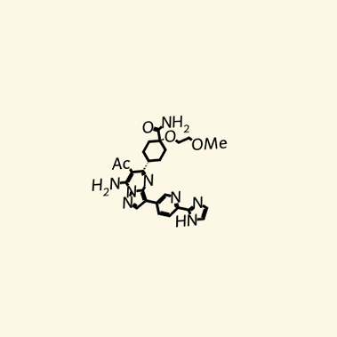 COCCO[C@]1(C(N)=O)CC[C@H](c2nc3c(-c4ccc(-c5ncc[nH]5)nc4)cnn3c(N)c2C(C)=O)CC1